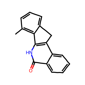 Cc1cccc2c1-c1[nH]c(=O)c3ccccc3c1C2